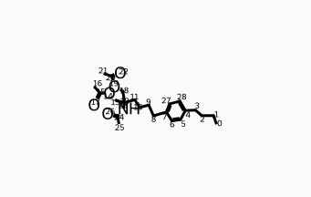 CCCCc1ccc(CCCCC(COC(C)=O)(COC(C)=O)NC(C)=O)cc1